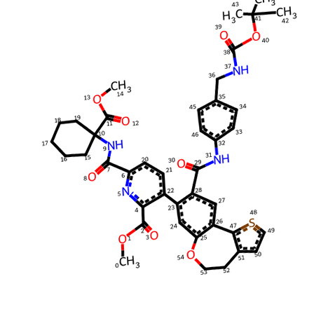 COC(=O)c1nc(C(=O)NC2(C(=O)OC)CCCCC2)ccc1-c1cc2c(cc1C(=O)Nc1ccc(CNC(=O)OC(C)(C)C)cc1)-c1sccc1CCO2